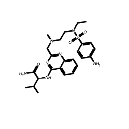 CCN(CCN(C)Cc1nc(N[C@H](C(N)=O)C(C)C)c2ccccc2n1)S(=O)(=O)c1ccc(N)cc1